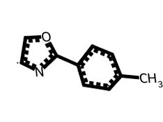 Cc1ccc(-c2n[c]co2)cc1